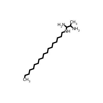 CCCCCCCCCCCCCCCCCCNC(N)C(C)N